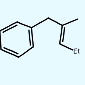 CCC=C(C)Cc1cc[c]cc1